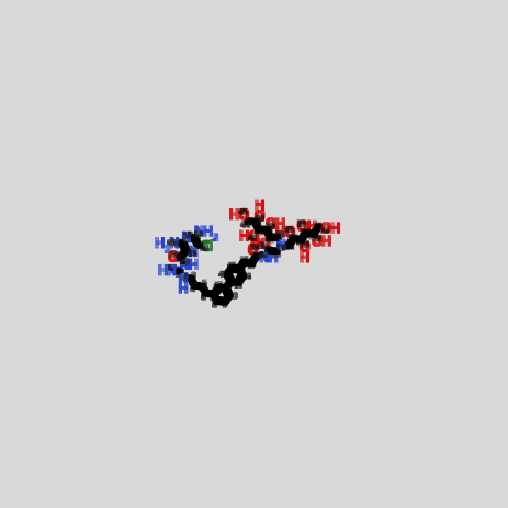 N=C(NCCCCc1cccc(-c2ccc(CCC(=O)NCCN(C[C@H](O)[C@@H](O)[C@H](O)[C@H](O)CO)C[C@H](O)[C@@H](O)[C@H](O)[C@H](O)CO)cc2)c1)NC(=O)c1nc(Cl)c(N)nc1N